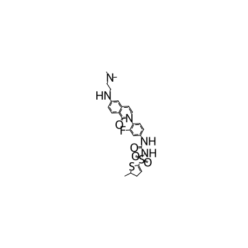 CC1CC=C(S(=O)(=O)NC(=O)Nc2ccc(-n3ccc4cc(NCCN(C)C)ccc4c3=O)c(F)c2)S1